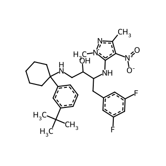 Cc1nn(C)c(NC(Cc2cc(F)cc(F)c2)C(O)CNC2(c3cccc(C(C)(C)C)c3)CCCCC2)c1[N+](=O)[O-]